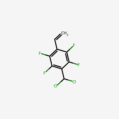 C=Cc1c(F)c(F)c(C(Cl)Cl)c(F)c1F